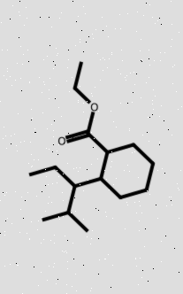 CCOC(=O)C1CCCCC1C(CC)C(C)C